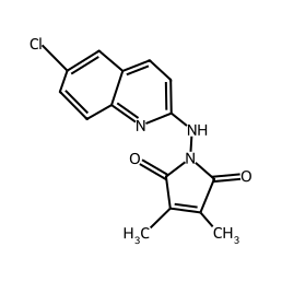 CC1=C(C)C(=O)N(Nc2ccc3cc(Cl)ccc3n2)C1=O